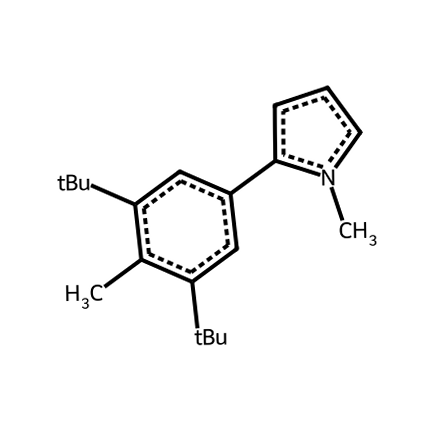 Cc1c(C(C)(C)C)cc(-c2cccn2C)cc1C(C)(C)C